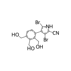 N#Cc1[nH]c(Br)c(-c2ccc(CO)c(CO)c2CO)c1Br